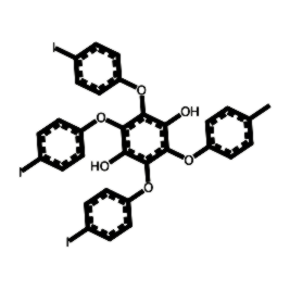 Cc1ccc(Oc2c(O)c(Oc3ccc(I)cc3)c(Oc3ccc(I)cc3)c(O)c2Oc2ccc(I)cc2)cc1